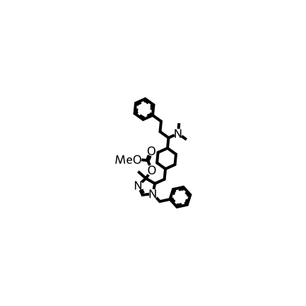 COC(=O)OC1(C)N=CN(Cc2ccccc2)C1CC1CCC(C(CCc2ccccc2)N(C)C)CC1